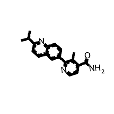 Cc1c(C(N)=O)ccnc1-c1ccc2nc(C(C)C)ccc2c1